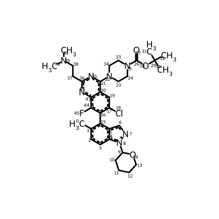 Cc1ccc2c(cnn2C2CCCCO2)c1-c1c(Cl)cc2c(N3CCN(C(=O)OC(C)(C)C)CC3)nc(CCN(C)C)nc2c1F